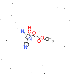 CCOC(=O)CCC(=O)c1nc(-c2ccncc2)cc(C#N)c1O